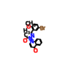 COc1ccc(Br)cc1C=NN(C(C)=O)n1ccc(=O)c2ccccc21